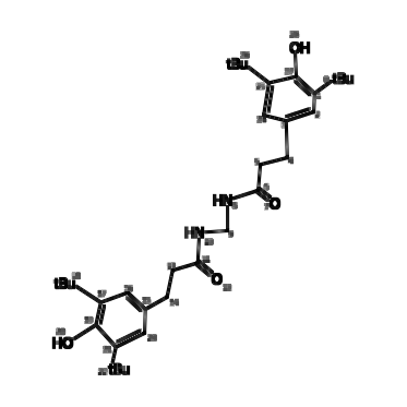 CC(C)(C)c1cc(CCC(=O)NCNC(=O)CCc2cc(C(C)(C)C)c(O)c(C(C)(C)C)c2)cc(C(C)(C)C)c1O